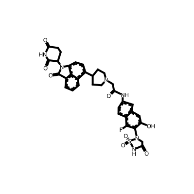 O=C1CCC(N2C(=O)c3cccc4c(C5CCN(CC(=O)Nc6ccc7c(F)c(N8CC(=O)NS8(=O)=O)c(O)cc7c6)CC5)ccc2c34)C(=O)N1